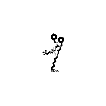 CCCCCCCCCCCCCCCCOCC(CN(Cc1ccccc1)C(=O)OCc1ccccc1)OP(=O)([O-])OCC[N+](C)(C)C